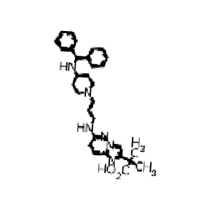 CC(C)(C(=O)O)c1cn2nc(NCCCN3CCC(NC(c4ccccc4)c4ccccc4)CC3)ccc2n1